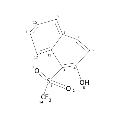 O=S(=O)(c1c(O)ccc2ccccc12)C(F)(F)F